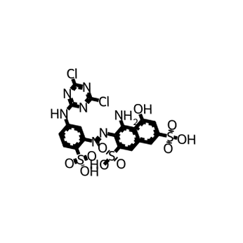 Nc1c(N=Nc2cc(Nc3nc(Cl)nc(Cl)n3)ccc2S(=O)(=O)O)c(S(=O)(=O)O)cc2cc(S(=O)(=O)O)cc(O)c12